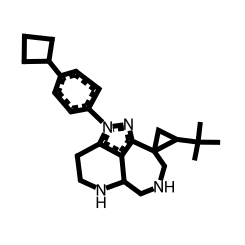 CC(C)(C)C1CC12CNCC1NCCc3c1c2nn3-c1ccc(C2CCC2)cc1